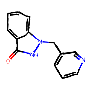 O=c1[nH]n(Cc2cccnc2)c2ccccc12